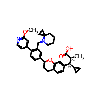 COc1cc(-c2ccc(C3CCc4ccc([C@H](C5CC5)[C@H](C)C(=O)O)cc4O3)cc2CN2CCCCC23CC3)ccn1